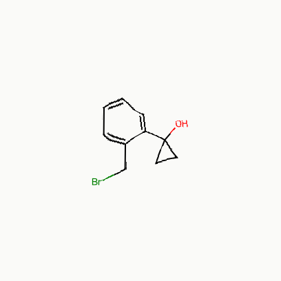 OC1(c2ccccc2CBr)CC1